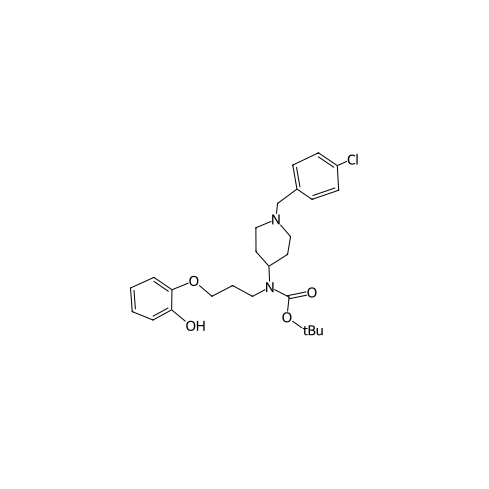 CC(C)(C)OC(=O)N(CCCOc1ccccc1O)C1CCN(Cc2ccc(Cl)cc2)CC1